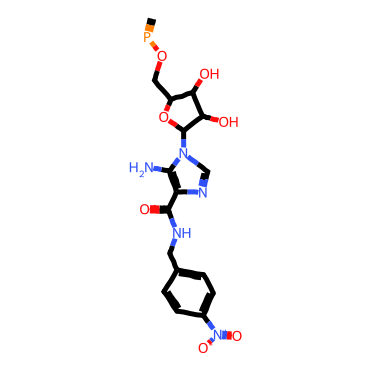 C=POCC1OC(n2cnc(C(=O)NCc3ccc([N+](=O)[O-])cc3)c2N)C(O)C1O